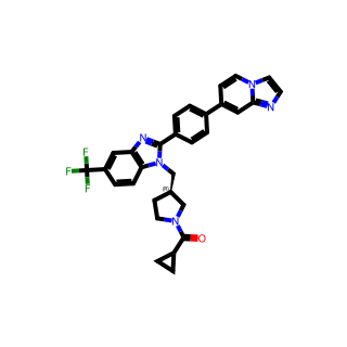 O=C(C1CC1)N1CC[C@@H](Cn2c(-c3ccc(-c4ccn5ccnc5c4)cc3)nc3cc(C(F)(F)F)ccc32)C1